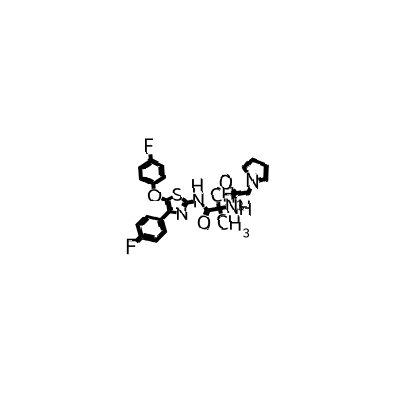 CC(C)(NC(=O)CN1CCCC1)C(=O)Nc1nc(-c2ccc(F)cc2)c(Oc2ccc(F)cc2)s1